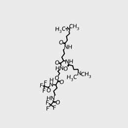 CN(C)CCCC(=O)NCCCC(NC(=O)CCCN(C)C)C(=O)NCCOC(=O)C(CCCNC(=O)C(F)(F)F)NC(=O)C(F)(F)F